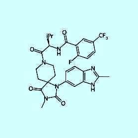 Cc1nc2ccc(N3C(=O)N(C)C(=O)C34CCN(C(=O)[C@H](NC(=O)c3cc(C(F)(F)F)ccc3F)C(C)C)CC4)cc2[nH]1